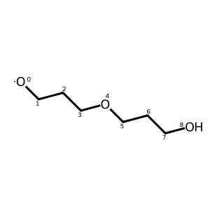 [O]CCCOCCCO